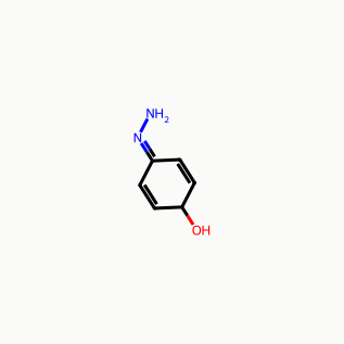 NN=C1C=CC(O)C=C1